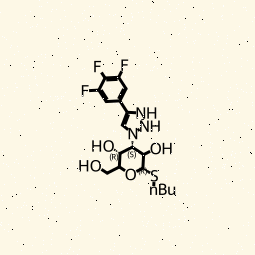 CCCCS[C@H]1OC(CO)[C@H](O)[C@H](N2C=C(c3cc(F)c(F)c(F)c3)NN2)C1O